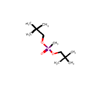 CC(C)(C)COP(C)(=O)OCC(C)(C)C